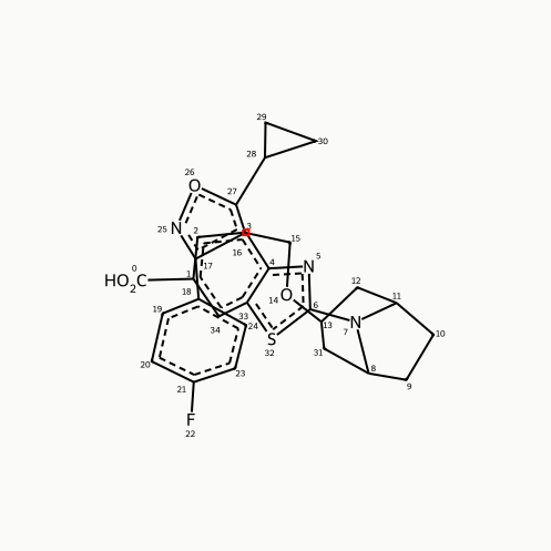 O=C(O)c1ccc2nc(N3C4CCC3CC(OCc3c(-c5ccc(F)cc5)noc3C3CC3)C4)sc2c1